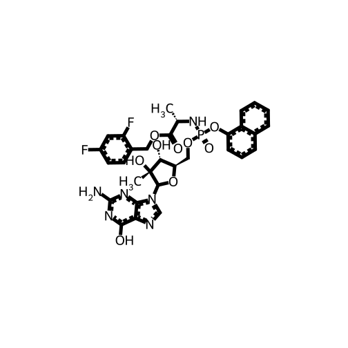 C[C@H](NP(=O)(OC[C@H]1OC(n2cnc3c(O)nc(N)nc32)[C@](C)(O)[C@@H]1O)Oc1cccc2ccccc12)C(=O)OCc1ccc(F)cc1F